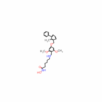 COc1cc(OCc2cccc(-c3ccccc3)c2C)cc(OC)c1CNCCCCCC(=O)NO